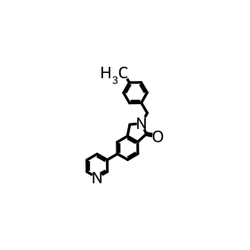 Cc1ccc(CN2Cc3cc(-c4cccnc4)ccc3C2=O)cc1